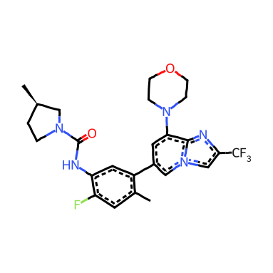 Cc1cc(F)c(NC(=O)N2CC[C@@H](C)C2)cc1-c1cc(N2CCOCC2)c2nc(C(F)(F)F)cn2c1